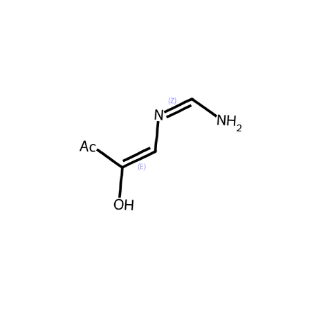 CC(=O)/C(O)=C\N=C/N